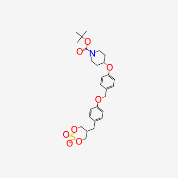 CC(C)(C)OC(=O)N1CCC(Oc2ccc(COc3ccc(CC4COS(=O)(=O)OC4)cc3)cc2)CC1